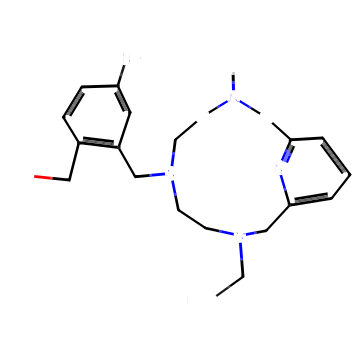 CN1CCN(Cc2cc([N+](=O)[O-])ccc2CO)CCN(CC(=O)O)Cc2cccc(n2)C1